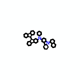 C1=Cc2c(n(-c3cccc4ccccc34)c3ccc(N(c4ccccc4)c4ccc5c(c4)C(=C4c6ccccc6-c6ccccc64)c4ccccc4-5)cc23)CC1